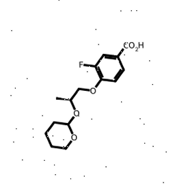 C[C@@H](COc1ccc(C(=O)O)cc1F)OC1CCCCO1